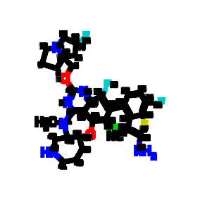 CN1c2nc(OC[C@@]34CCCN3C[C@H](F)C4)nc3c(F)c(-c4ccc(F)c5sc(N)c(C#N)c45)c(Cl)c(c23)OC2CCCNCC21